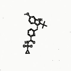 COc1ccc2c(Cc3cccc(C(=O)NS(=O)(=O)C4CC4)n3)c(C(C)(C)C)[nH]c2c1